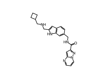 O=C(NCc1ccc2cc(CNCC3CCC3)[nH]c2c1)c1cc2ncccn2n1